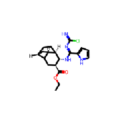 CCOC(=O)[C@H]1CC2[C@@H]3CC[C@@H]([C@@H]1N/C(=N/C(=N)Cl)c1ccc[nH]1)[C@H]2C3